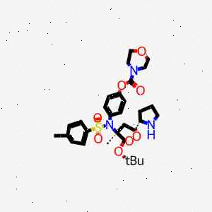 Cc1ccc(S(=O)(=O)N(c2ccc(OC(=O)N3CCOCC3)cc2)[C@@](C)(CC(=O)[C@@H]2CCCN2)C(=O)OC(C)(C)C)cc1